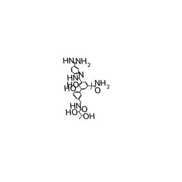 C[C@H](O)C(O)C(=O)NCc1ccc(O)c(-c2cc(C(C)(C)C(N)=O)cc(-c3nc4cc(C(=N)N)ccc4[nH]3)c2O)c1